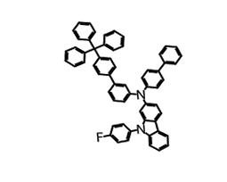 Fc1ccc(-n2c3ccccc3c3ccc(N(c4ccc(-c5ccccc5)cc4)c4cccc(-c5ccc(C(c6ccccc6)(c6ccccc6)c6ccccc6)cc5)c4)cc32)cc1